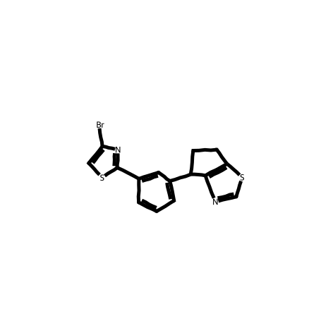 Brc1csc(-c2cccc(C3CCc4scnc43)c2)n1